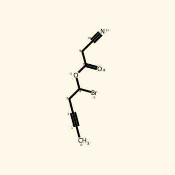 CC#CCC(Br)OC(=O)CC#N